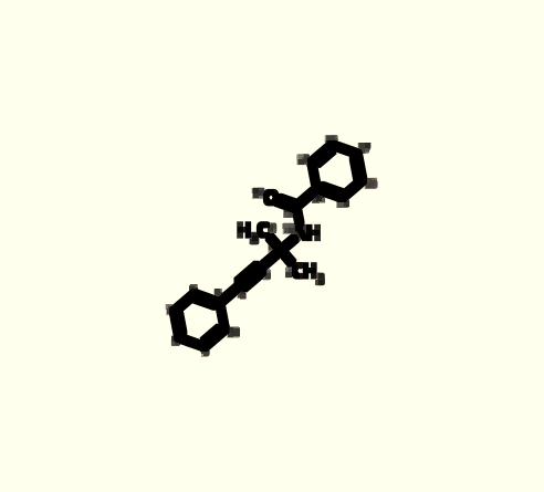 CC(C)(C#Cc1ccccc1)NC(=O)c1ccccc1